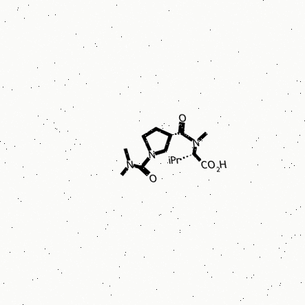 CC(C)[C@@H](C(=O)O)N(C)C(=O)[C@H]1CCN(C(=O)N(C)C)C1